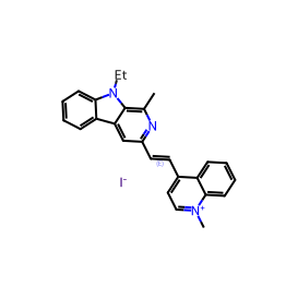 CCn1c2ccccc2c2cc(/C=C/c3cc[n+](C)c4ccccc34)nc(C)c21.[I-]